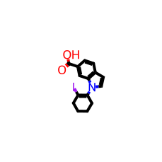 O=C(O)c1ccc2ccn(C3=C(I)CCCC3)c2c1